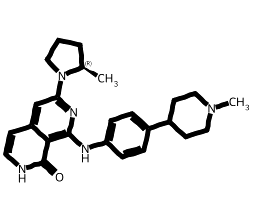 C[C@@H]1CCCN1c1cc2cc[nH]c(=O)c2c(Nc2ccc(C3CCN(C)CC3)cc2)n1